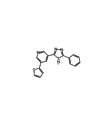 C[SH]1C(c2ccccc2)=NN=C1c1cncc(-c2cccs2)c1